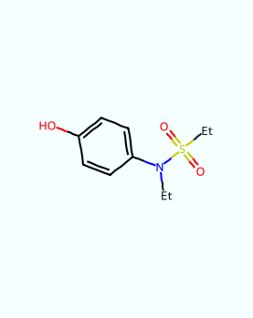 CCN(c1ccc(O)cc1)S(=O)(=O)CC